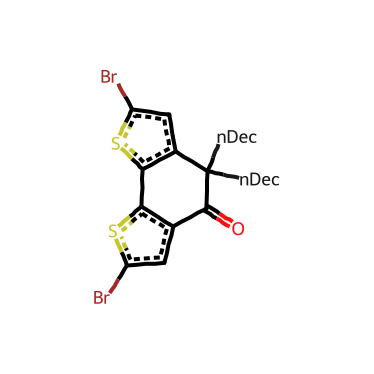 CCCCCCCCCCC1(CCCCCCCCCC)C(=O)c2cc(Br)sc2-c2sc(Br)cc21